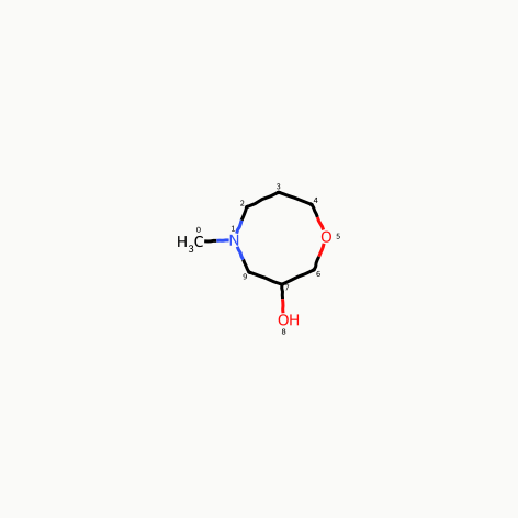 CN1CCCOCC(O)C1